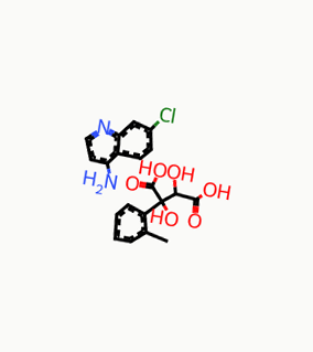 Cc1ccccc1C(O)(C(=O)O)C(O)C(=O)O.Nc1ccnc2cc(Cl)ccc12